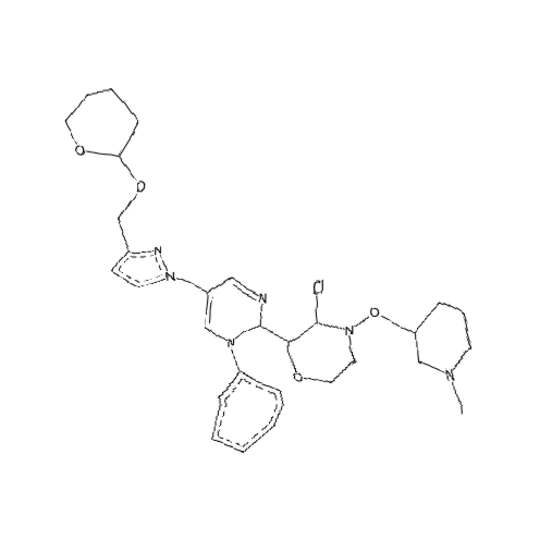 CN1CCCC(ON2CCOC(C3N=CC(n4ccc(COC5CCCCO5)n4)=CN3c3ccccc3)C2Cl)C1